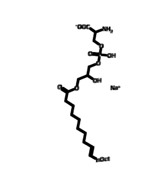 CCCCCCCCC=CCCCCCCCC(=O)OCC(O)COP(=O)(O)OCC(N)C(=O)[O-].[Na+]